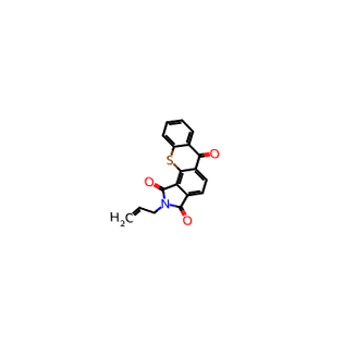 C=CCN1C(=O)c2ccc3c(=O)c4ccccc4sc3c2C1=O